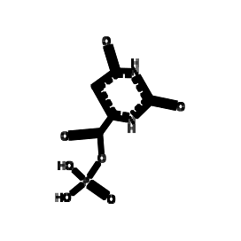 O=C(OP(=O)(O)O)c1cc(=O)[nH]c(=O)[nH]1